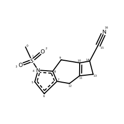 CS(=O)(=O)n1ccc2c1CC1=C(C2)CC1C#N